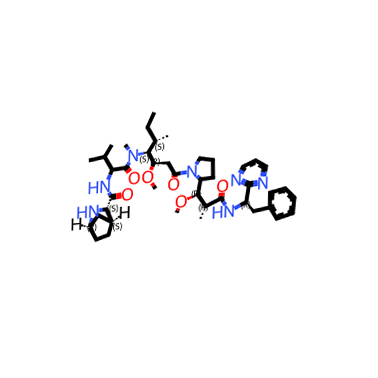 CC[C@H](C)[C@@H]([C@@H](CC(=O)N1CCCC1[C@H](OC)[C@@H](C)C(=O)N[C@H](Cc1ccccc1)c1ncccn1)OC)N(C)C(=O)C(NC(=O)[C@H]1N[C@@H]2CC[C@H]1C2)C(C)C